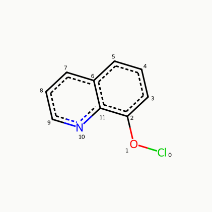 ClOc1cccc2cccnc12